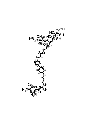 N=C(NCCCCc1ccc(-c2cnc(CCC(=O)OCCCCN(C[C@H](O)[C@@H](O)[C@H](O)[C@H](O)CO)C[C@H](O)[C@@H](O)[C@H](O)[C@H](O)CO)s2)cc1)NC(=O)c1nc(Cl)c(N)nc1N